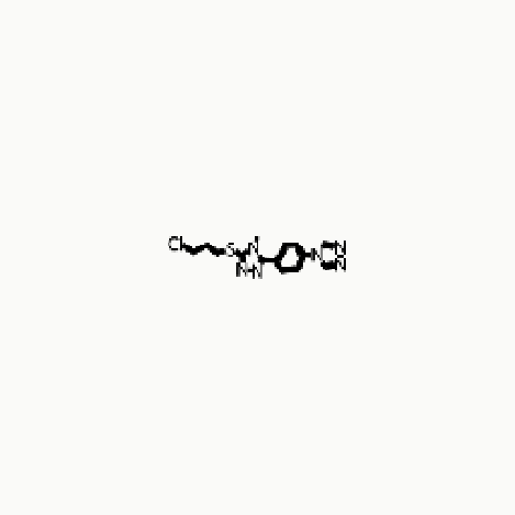 Cn1c(SCCCCl)nnc1-c1ccc(-n2cnnc2)cc1